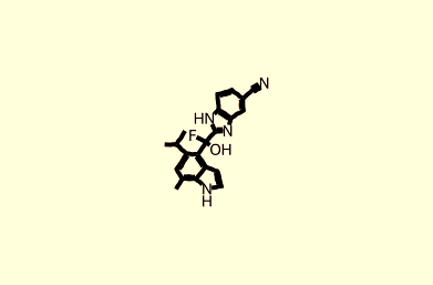 Cc1cc(C(C)C)c(C(O)(F)c2nc3cc(C#N)ccc3[nH]2)c2cc[nH]c12